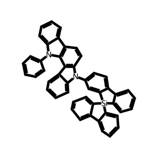 c1ccc(-n2c3ccccc3c3ccc4c(c5ccccc5n4-c4ccc5c(c4)[Si]4(c6ccccc6-c6ccccc64)c4ccccc4-5)c32)cc1